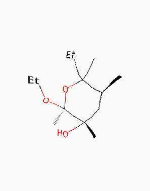 CCO[C@@]1(C)OC(C)(CC)[C@@H](C)C[C@]1(C)O